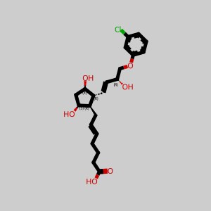 O=C(O)CCCC=CC[C@@H]1[C@@H](C=C[C@@H](O)COc2cccc(Cl)c2)[C@H](O)C[C@@H]1O